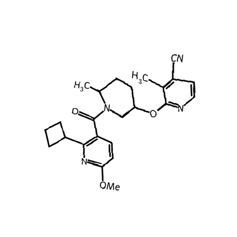 COc1ccc(C(=O)N2CC(Oc3nccc(C#N)c3C)CCC2C)c(C2CCC2)n1